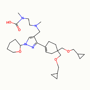 CN(CCN(C)C(=O)O)Cc1cn(C2CCCCO2)nc1C1=CCC(COCC2CC2)(COCC2CC2)CC1